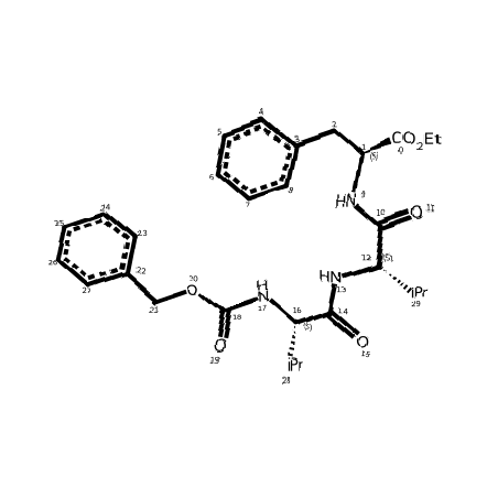 CCOC(=O)[C@H](Cc1ccccc1)NC(=O)[C@@H](NC(=O)[C@@H](NC(=O)OCc1ccccc1)C(C)C)C(C)C